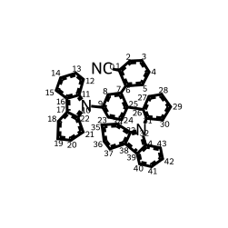 N#Cc1ccccc1-c1cc(-n2c3ccccc3c3ccccc32)ccc1-c1ccccc1-n1c2ccccc2c2ccccc21